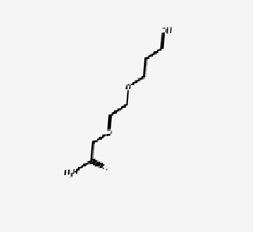 NC(=O)COCCOCCCO